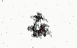 CC[C@H](C)[C@@H]([C@@H](CC(=O)N1CCC[C@H]1C[C@@H](C)C(=O)N[C@H](C)[C@@H](O)c1ccccc1)OC)N(C)C(=O)[C@@H](NC(=O)[C@H](C(C)C)N(C)C(=O)OCc1ccc(NC(=O)[C@H](CCCNC(N)=O)NC(=O)[C@@H](NC(=O)CCOCCNCCNc2ncc(-c3cc(C)cc(F)c3)c(N3CCC(N)CC3)c2-c2nc3ccc(Cl)cc3[nH]2)C(C)C)cc1C(=O)NCCN)C(C)C